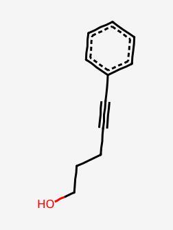 OCCCC#Cc1ccccc1